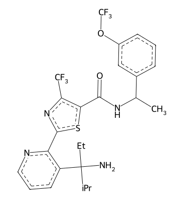 CCC(N)(c1cccnc1-c1nc(C(F)(F)F)c(C(=O)NC(C)c2cccc(OC(F)(F)F)c2)s1)C(C)C